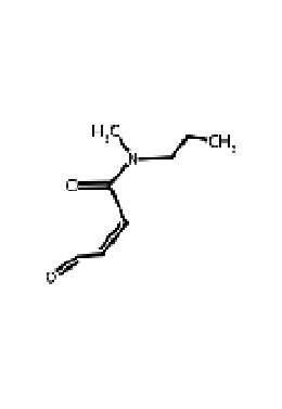 CCCN(C)C(=O)/C=C\C=O